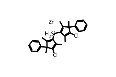 CC1=C(Cl)C(C)(c2ccccc2)C(C)=C1[SiH2]C1=C(C)C(C)(c2ccccc2)C(Cl)=C1C.[Zr]